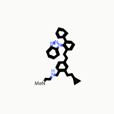 CNCCNCc1ccc(CCc2cccc(-c3ccccc3)c2-n2nnc3ccccc32)cc1CCC1CC1